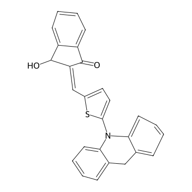 O=C1/C(=C\c2ccc(N3c4ccccc4Cc4ccccc43)s2)C(O)c2ccccc21